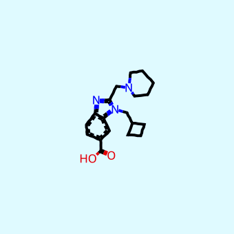 O=C(O)c1ccc2nc(CN3CCCCC3)n(CC3CCC3)c2c1